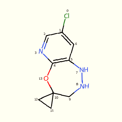 Clc1cnc2c(c1)NNCC1(CC1)O2